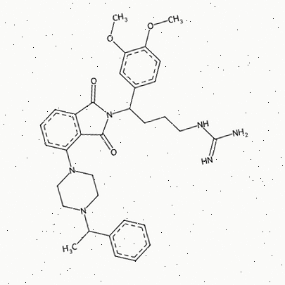 COc1ccc(C(CCCNC(=N)N)N2C(=O)c3cccc(N4CCN(C(C)c5ccccc5)CC4)c3C2=O)cc1OC